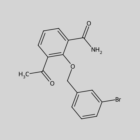 CC(=O)c1cccc(C(N)=O)c1OCc1cccc(Br)c1